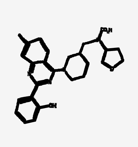 Cc1ccc2c(N3CCCC(CN(C(=O)O)C4CCOC4)C3)nc(-c3ccccc3O)nc2c1